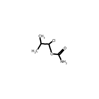 CC(C)C(Cl)OC(N)=O